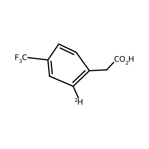 [2H]c1cc(C(F)(F)F)ccc1CC(=O)O